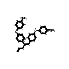 C=CCC(=Cc1ccc(Oc2ccc(N)cc2)cc1)c1ccc(Oc2ccc(N)cc2)cc1